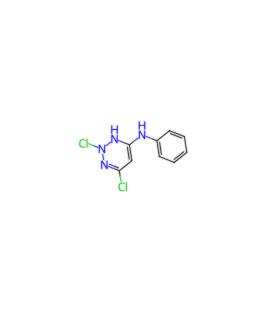 ClC1=NN(Cl)NC(Nc2ccccc2)=C1